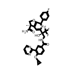 C[C@]1(C(N)=O)COc2c1cc([C@@](O)(CNC(=O)c1ccc(OC3CC3)c(-c3ncccn3)c1)C(F)(F)F)nc2-c1ccc(F)cc1